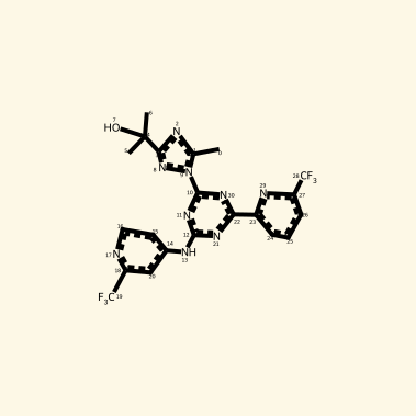 Cc1nc(C(C)(C)O)nn1-c1nc(Nc2ccnc(C(F)(F)F)c2)nc(-c2cccc(C(F)(F)F)n2)n1